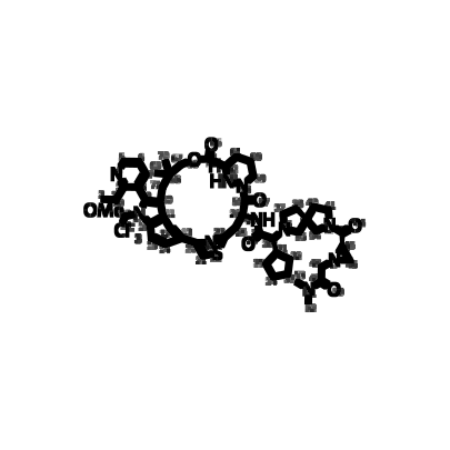 CO[C@@H](C)c1ncccc1-c1c2c3cc(ccc3n1CC(F)(F)F)-c1csc(n1)C[C@H](NC(=O)[C@H](C1CCCC1)N1CC[C@]3(CCN(C(=O)[C@H]4CN4CC(=O)N(C)C)C3)C1)C(=O)N1CCC[C@H](N1)C(=O)OCC(C)(C)C2